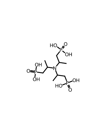 CC(CP(=O)(O)O)N(C(C)CP(=O)(O)O)C(C)CP(=O)(O)O